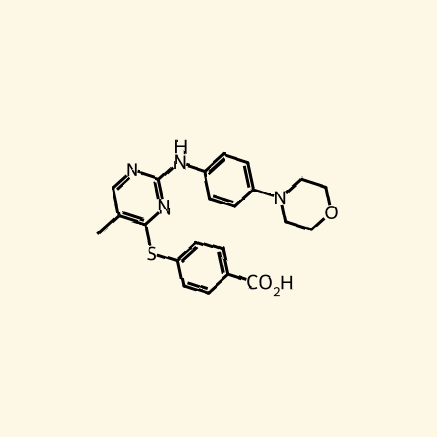 Cc1cnc(Nc2ccc(N3CCOCC3)cc2)nc1Sc1ccc(C(=O)O)cc1